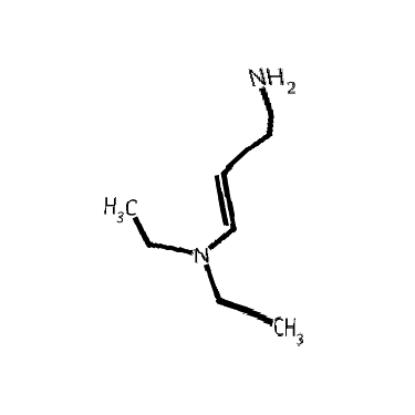 CCN(C=CCN)CC